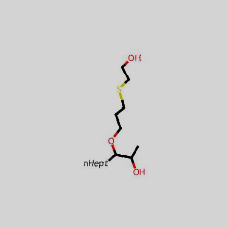 CCCCCCCC(OCCCSCCO)C(C)O